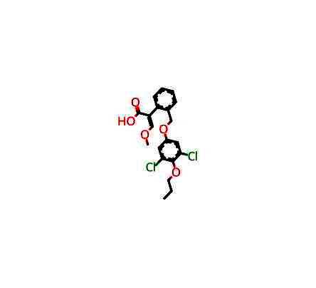 CCCOc1c(Cl)cc(OCc2ccccc2C(=COC)C(=O)O)cc1Cl